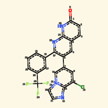 O=c1ccc2cc(-c3cc(Cl)c4nccn4c3)c(-c3cccc(C(F)(F)F)c3)nc2[nH]1